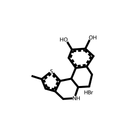 Br.Cc1cc2c(s1)C1c3cc(O)c(O)cc3CCC1NC2